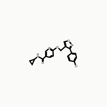 O=C(NC1CC1)c1ccc(OCc2conc2-c2ccc(Cl)cc2)nc1